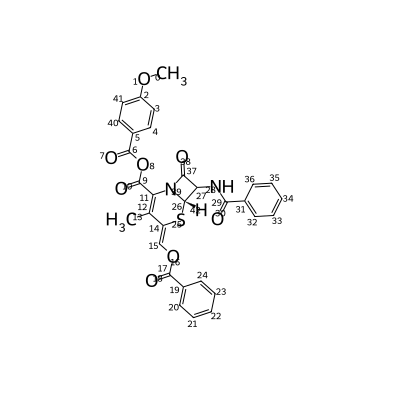 COc1ccc(C(=O)OC(=O)C2=C(C)C(=COC(=O)c3ccccc3)S[C@H]3C(NC(=O)c4ccccc4)C(=O)N23)cc1